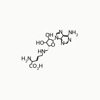 Nc1ncnc2c1ncn2[C@@H]1O[C@H](CNC/C=C/C(N)C(=O)O)[C@@H](O)[C@H]1O